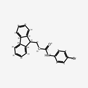 O=C(Nc1ccc(Br)cc1)OCC1c2ccccc2-c2ccccc21